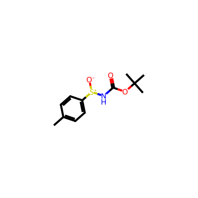 Cc1ccc([S+]([O-])NC(=O)OC(C)(C)C)cc1